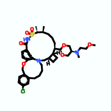 COCCN(C)[C@H]1CO[C@H]([C@@H]2CCC[C@H](C)[C@@H](C)S(=O)(=O)NC(=O)c3ccc4c(c3)N(CCCCc3cc(Cl)ccc3CO4)C[C@@H]3CC[C@H]32)OC1